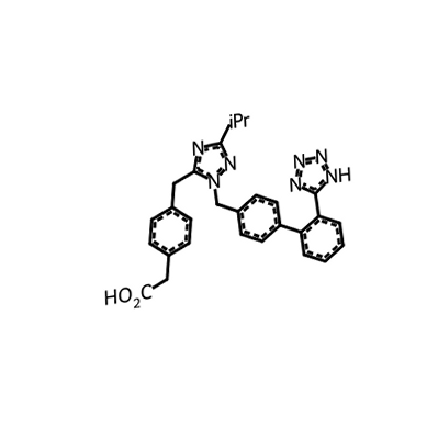 CC(C)c1nc(Cc2ccc(CC(=O)O)cc2)n(Cc2ccc(-c3ccccc3-c3nnn[nH]3)cc2)n1